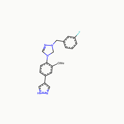 COc1cc(-c2cn[nH]c2)ccc1N1C=NN(Cc2cccc(F)c2)C1